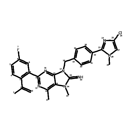 C=C(C)c1ccc(F)cc1-c1nc(C)c2c(n1)n(Cc1ccc(-c3nc(Cl)cn3C)cc1)c(=N)n2C